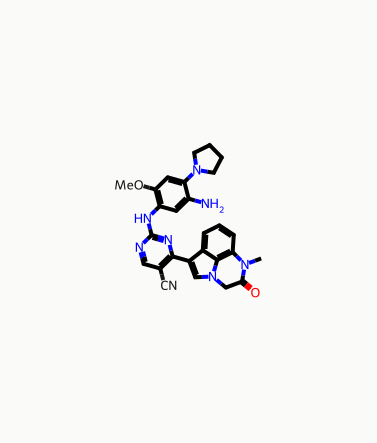 COc1cc(N2CCCC2)c(N)cc1Nc1ncc(C#N)c(-c2cn3c4c(cccc24)N(C)C(=O)C3)n1